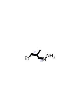 CC/C=C(C)\C=N/N